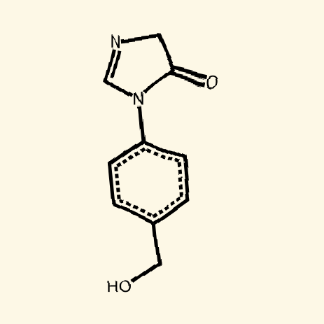 O=C1CN=CN1c1ccc(CO)cc1